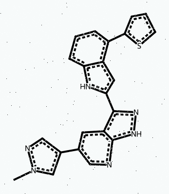 Cn1cc(-c2cnc3[nH]nc(-c4cc5c(-c6cccs6)cccc5[nH]4)c3c2)cn1